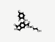 O=C1NCc2cc(C(=O)NOCCO)c(Nc3ccc(I)cc3F)cc21